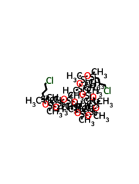 C[Si](C)(CCCCl)O[Si](C)(C)O[Si](C)(C)O[Si](C)(C)O[Si](C)(C)O[Si](C)(C)O[Si](C)(C)O[Si](C)(C)O[Si](C)(C)O[Si](C)(C)O[Si](C)(C)O[Si](C)(C)CCCCl